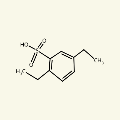 CCc1ccc(CC)c(S(=O)(=O)O)c1